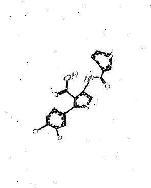 O=C(Nc1csc(-c2ccc(Cl)c(Cl)c2)c1C(=O)O)c1ccsc1